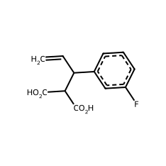 C=CC(c1cccc(F)c1)C(C(=O)O)C(=O)O